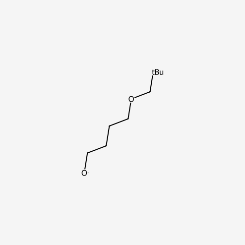 CC(C)(C)COCCCC[O]